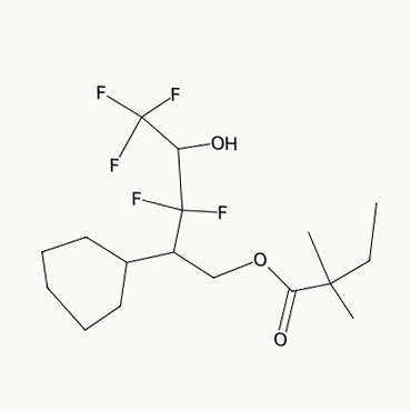 CCC(C)(C)C(=O)OCC(C1CCCCC1)C(F)(F)C(O)C(F)(F)F